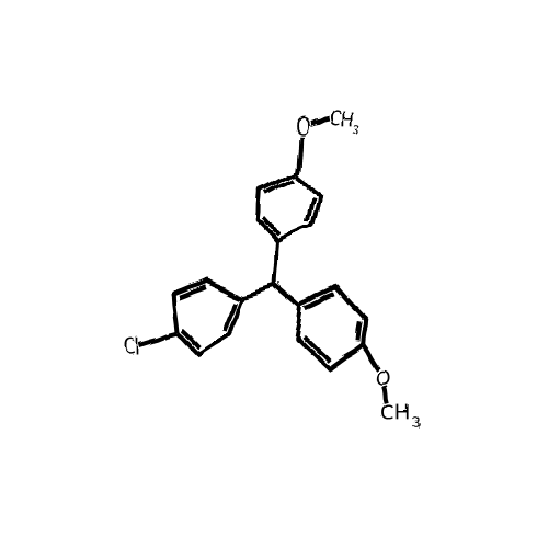 COc1ccc([C](c2ccc(Cl)cc2)c2ccc(OC)cc2)cc1